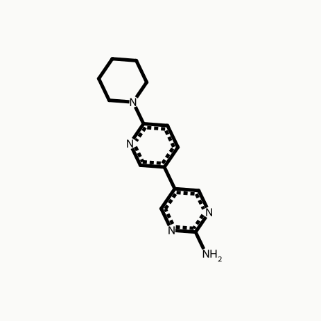 Nc1ncc(-c2ccc(N3CCCCC3)nc2)cn1